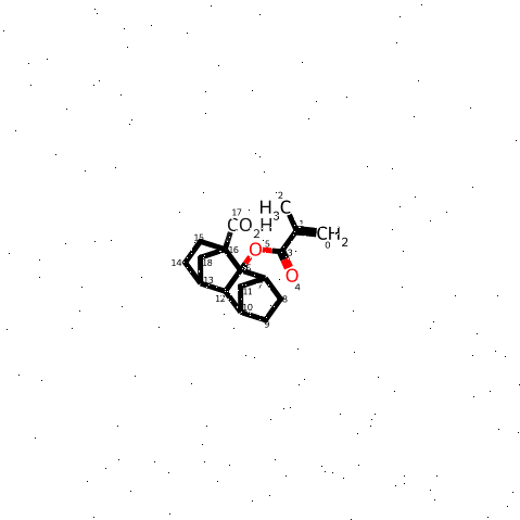 C=C(C)C(=O)OC12C3CCC(C3)C1C1CCC2(C(=O)O)C1